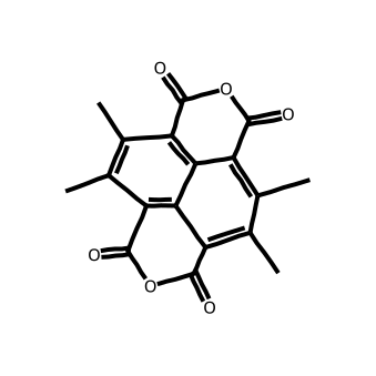 Cc1c(C)c2c3c(c(C)c(C)c4c3c1C(=O)OC4=O)C(=O)OC2=O